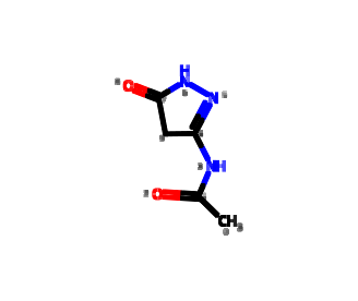 CC(=O)NC1=NNC(=O)C1